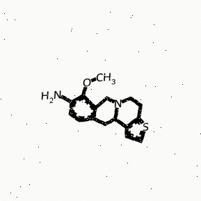 COc1c(N)ccc2c1CN1CCc3sccc3C1C2